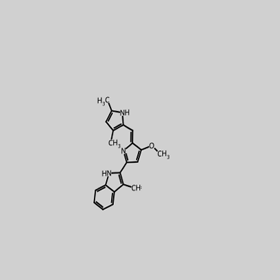 [CH]c1c(C2=NC(=Cc3[nH]c(C)cc3C)C(OC)=C2)[nH]c2ccccc12